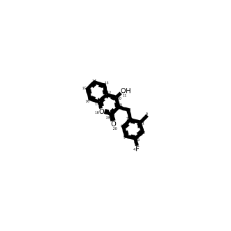 Cc1cc(F)ccc1Cc1c(O)c2ccccc2oc1=O